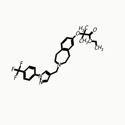 CCOC(=O)C(C)(C)Oc1ccc2c(c1)CCN(Cc1cnn(-c3ccc(C(F)(F)F)cc3)c1)CC2